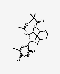 CC(=O)OC1[C@H](n2cc(C)c(=O)[nH]c2=O)OC2([C@H](C)CCC[C@@H]2OC(=O)C(C)(C)C)[C@@H]1C